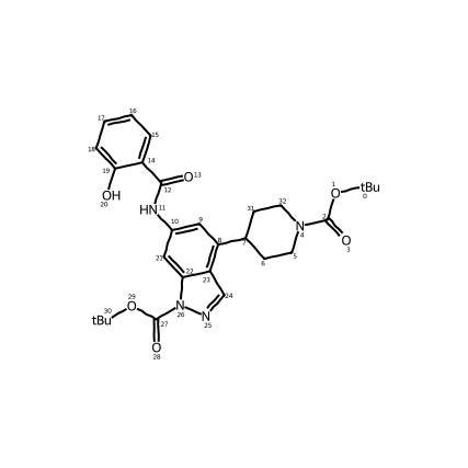 CC(C)(C)OC(=O)N1CCC(c2cc(NC(=O)c3ccccc3O)cc3c2cnn3C(=O)OC(C)(C)C)CC1